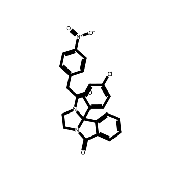 O=C(Cc1ccc([N+](=O)[O-])cc1)N1CCN2C(=O)c3ccccc3C12c1ccc(Cl)cc1